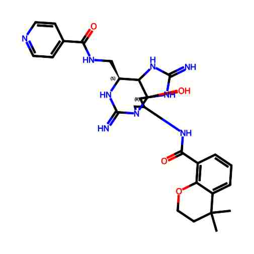 CC1(C)CCOc2c(C(=O)NC3CN4C(=N)N[C@@H](CNC(=O)c5ccncc5)C5NC(=N)NC54[C@@H]3O)cccc21